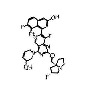 CCc1c(F)ccc2cc(O)cc(-c3ncc4c(N5CC=CC(O)C5)nc(OC[C@@]56CCCN5C[C@H](F)C6)nc4c3F)c12